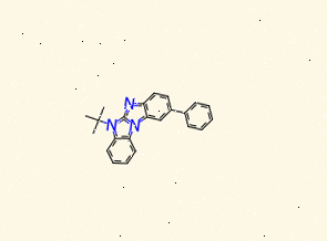 CC(C)(C)n1c2ccccc2n2c3cc(-c4ccccc4)ccc3nc12